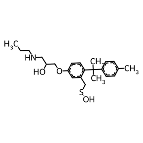 CCCNCC(O)COc1ccc(C(C)(C)c2ccc(C)cc2)c(CSO)c1